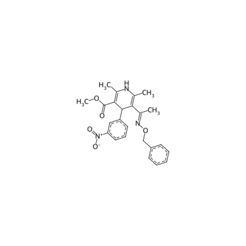 COC(=O)C1=C(C)NC(C)=C(C(C)=NOCc2ccccc2)C1c1cccc([N+](=O)[O-])c1